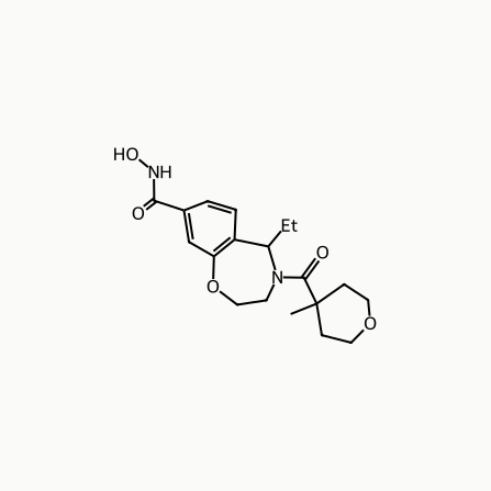 CCC1c2ccc(C(=O)NO)cc2OCCN1C(=O)C1(C)CCOCC1